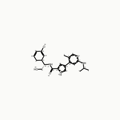 Cc1cnc(NC(C)C)cc1-c1c[nH]c(C(=O)N[C@H](CO)C2C=C(Cl)C=CC2)c1